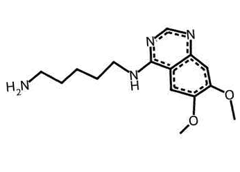 COc1cc2ncnc(NCCCCCN)c2cc1OC